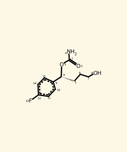 NC(=O)O[C@H](CCCO)c1ccc(F)cc1